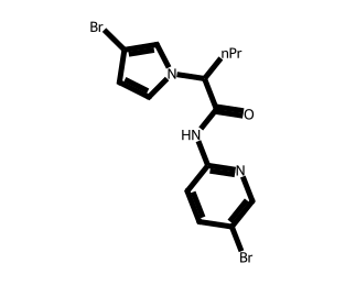 CCCC(C(=O)Nc1ccc(Br)cn1)n1ccc(Br)c1